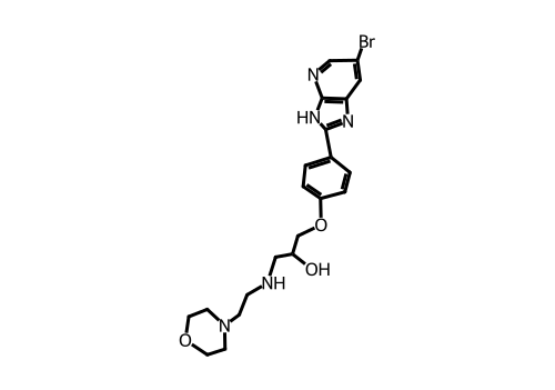 OC(CNCCN1CCOCC1)COc1ccc(-c2nc3cc(Br)cnc3[nH]2)cc1